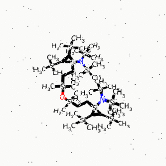 C[Si](C)(CC[Si]1(N([Si](C)(C)C)[Si](C)(C)C)C([Si](C)(C)C)=C1[Si](C)(C)C)O[Si](C)(C)CC[Si]1(N([Si](C)(C)C)[Si](C)(C)C)C([Si](C)(C)C)=C1[Si](C)(C)C